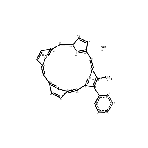 CC1=C(c2ccccn2)C2=NC1=CC1=NC(=CC3=NC(=CC4=NC(=C2)C=C4)C=C3)C=C1.[Mn]